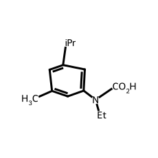 CCN(C(=O)O)c1cc(C)cc(C(C)C)c1